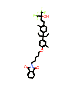 CCC(CC)(c1ccc(/C=C/C(O)(C(F)(F)F)C(F)(F)F)c(C)c1)c1ccc(OCCCCCN2C(=O)c3ccccc3C2=O)c(C)c1